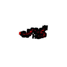 Cc1ccc(S(=O)(=O)c2ccc(Oc3ccc(C(c4ccc(Oc5ccc(S(=O)(=O)c6ccc(-c7ccc(-c8ccc(C)c(C(=O)c9cccc(SOOO)c9)c8)c(S(=O)(=O)c8ccc(-n9ccnc9)cc8)c7)cc6)cc5)cc4)(C(F)(F)F)C(F)(F)F)cc3)cc2)cc1